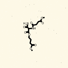 COC(=O)CCCOC(=O)C(NC(=O)CCC(=O)OC)C(N)=O